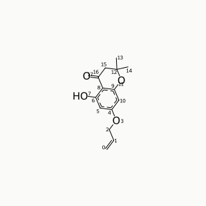 C=CCOc1cc(O)c2c(c1)OC(C)(C)CC2=O